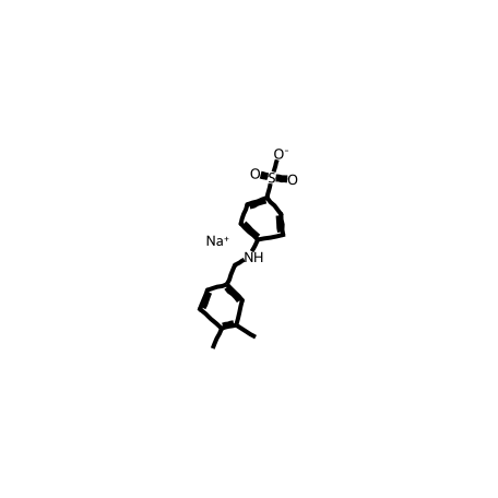 Cc1ccc(CNc2ccc(S(=O)(=O)[O-])cc2)cc1C.[Na+]